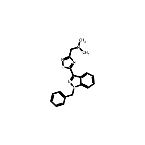 CN(C)Cc1noc(-c2nn(Cc3ccccc3)c3ccccc23)n1